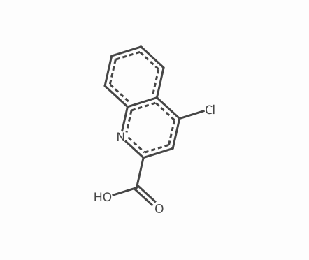 O=C(O)c1cc(Cl)c2ccccc2n1